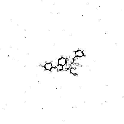 CC(C)CS(=O)(=O)N[C@@H](C)[C@H](Oc1ccc2c(cnn2-c2ccc(F)cc2)c1)c1ccccc1